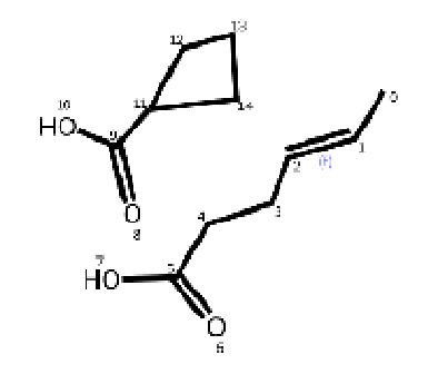 C/C=C/CCC(=O)O.O=C(O)C1CCC1